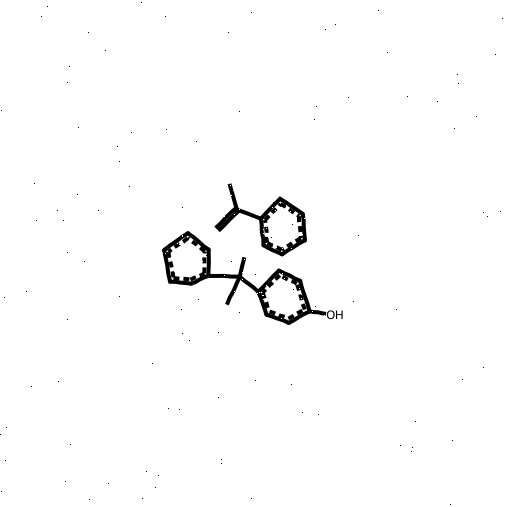 C=C(C)c1ccccc1.CC(C)(c1ccccc1)c1ccc(O)cc1